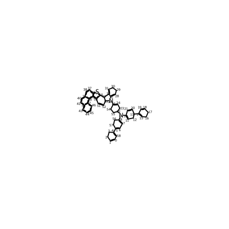 C1=CCCC(C2=CC=C(N(C3=CCC(C4=CCCC=C4)C=C3)C3CC=C(N4C5=CCCC=C5C5c6sc7ccc8ccc9ccccc9c8c7c6C=CC54)CC3)CC2)=C1